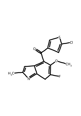 COC1=C(F)CC2=NC(C)=[C]C2=C1C(=O)c1csc(Cl)c1